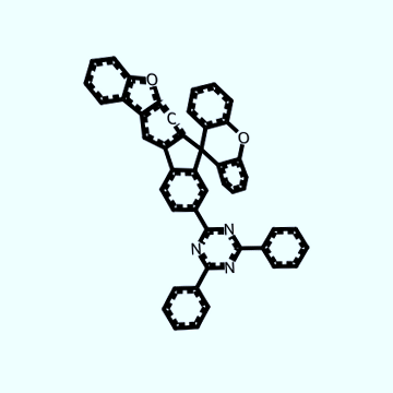 c1ccc(-c2nc(-c3ccccc3)nc(-c3ccc4c(c3)C3(c5ccccc5Oc5ccccc53)c3cc5oc6ccccc6c5cc3-4)n2)cc1